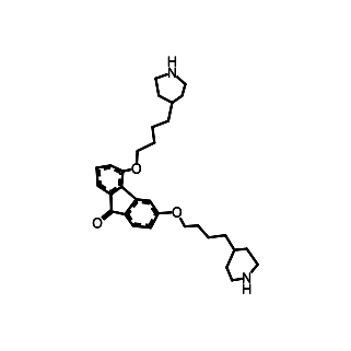 O=C1c2ccc(OCCCCC3CCNCC3)cc2-c2c(OCCCCC3CCNCC3)cccc21